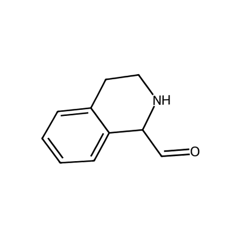 O=CC1NCCc2ccccc21